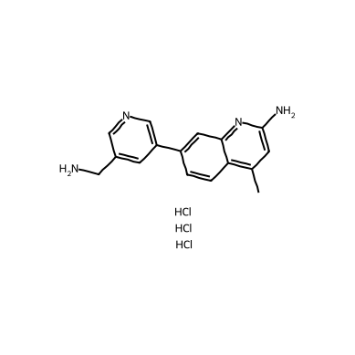 Cc1cc(N)nc2cc(-c3cncc(CN)c3)ccc12.Cl.Cl.Cl